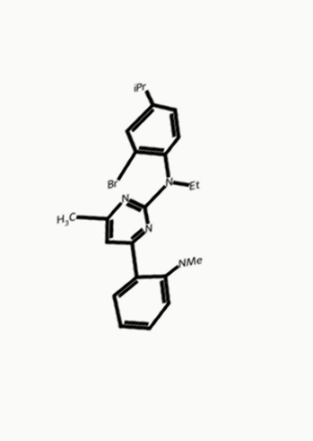 CCN(c1nc(C)cc(-c2ccccc2NC)n1)c1ccc(C(C)C)cc1Br